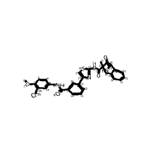 COc1ccc(NC(=O)c2cccc(-c3csc(NC(=O)C4(C)CC5C(=O)NC4c4ccccc45)n3)c2)cc1Cl